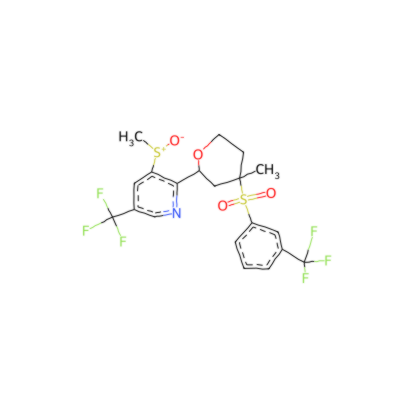 C[S+]([O-])c1cc(C(F)(F)F)cnc1C1CC(C)(S(=O)(=O)c2cccc(C(F)(F)F)c2)CCO1